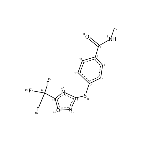 CNC(=O)c1ccc(Sc2noc(C(F)(F)F)n2)cc1